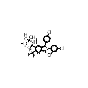 CC(C)(C)NC(=O)c1cc2c(-c3ccc(Cl)cc3)n(-c3ccc(Cl)cc3Cl)nc2nc1C(F)(F)F